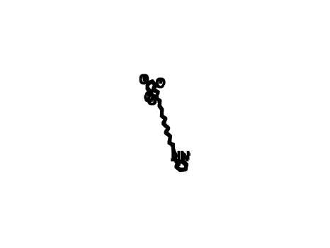 CNc1ccccc1CCCCCCCCCCCCCCC(=O)Cc1c(OC)cc(OC)cc1OC